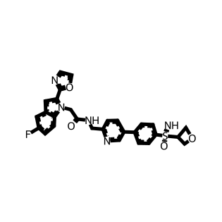 N=S(=O)(c1ccc(-c2ccc(CNC(=O)Cn3c(-c4ncco4)cc4cc(F)ccc43)nc2)cc1)C1COC1